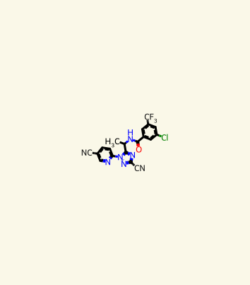 CC(NC(=O)c1cc(Cl)cc(C(F)(F)F)c1)c1nc(C#N)nn1-c1ccc(C#N)cn1